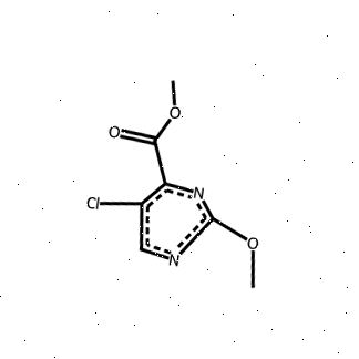 COC(=O)c1nc(OC)ncc1Cl